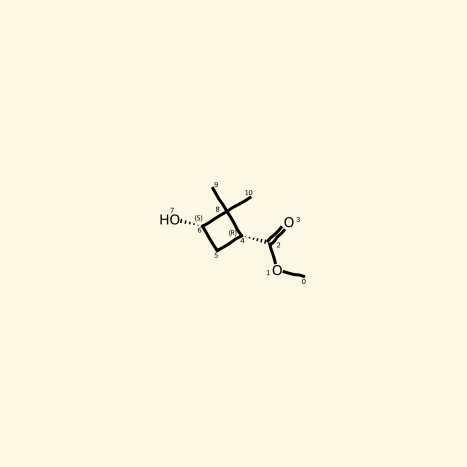 COC(=O)[C@@H]1C[C@H](O)C1(C)C